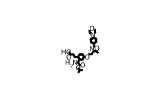 Cc1oc(-c2ccc(N3CCOCC3)cc2)nc1CCOc1ccc(CCC(=O)O)c(C(N)C(=O)OC(C)C)c1